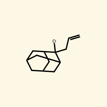 C=CCC1([O])C2CC3CC(C2)CC1C3